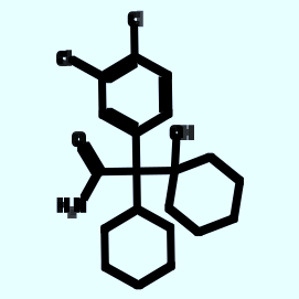 NC(=O)C(c1ccc(Cl)c(Cl)c1)(C1CCCCC1)C1(O)CCCCC1